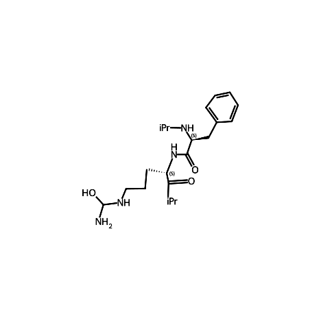 CC(C)N[C@@H](Cc1ccccc1)C(=O)N[C@@H](CCCNC(N)O)C(=O)C(C)C